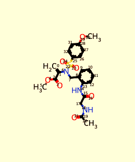 C=C(C(=O)OC)N(Cc1ccccc1NC(=O)CNC(C)=O)S(=O)(=O)c1ccc(OC)cc1